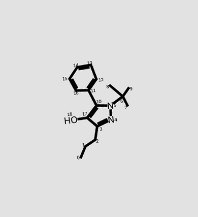 CCCc1nn(C(C)(C)C)c(-c2ccccc2)c1O